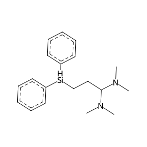 CN(C)C(CC[SiH](c1ccccc1)c1ccccc1)N(C)C